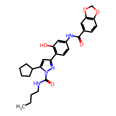 CCCCNC(=O)n1nc(-c2ccc(NC(=O)c3ccc4c(c3)OCO4)cc2O)cc1C1CCCC1